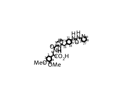 COc1ccc(C(CNC(=O)[C@H](CC(C)C)NC(=O)Cc2ccc(NC(=O)Nc3ccccn3)cc2)C(=O)O)cc1OC